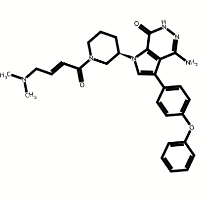 CN(C)C/C=C/C(=O)N1CCC[C@@H](n2cc(-c3ccc(Oc4ccccc4)cc3)c3c(N)n[nH]c(=O)c32)C1